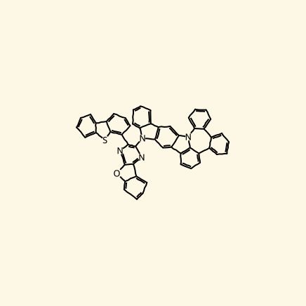 c1ccc2c(c1)-c1ccccc1-n1c3cc4c5ccccc5n(-c5nc6c(nc5-c5cccc7c5sc5ccccc57)oc5ccccc56)c4cc3c3cccc-2c31